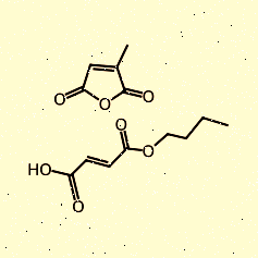 CC1=CC(=O)OC1=O.CCCCOC(=O)/C=C/C(=O)O